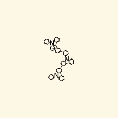 c1ccc(-n2c3ccccc3c3cc(-c4ccc5c(c4)c4ccccc4n5-c4cccc(-c5ccc6oc7c(c6c5)c5ccccc5n7-c5ccccc5)c4)ccc32)cc1